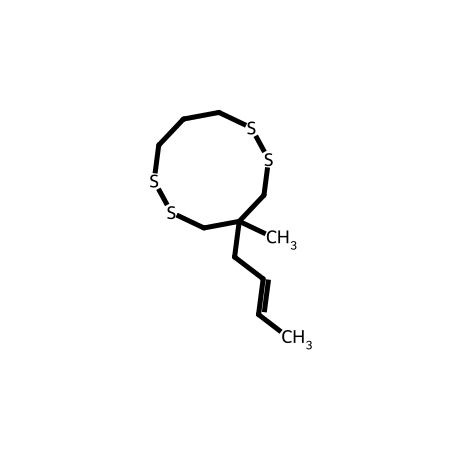 CC=CCC1(C)CSSCCCSSC1